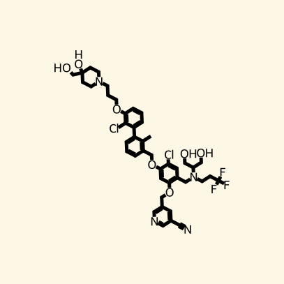 Cc1c(COc2cc(OCc3cncc(C#N)c3)c(CN(CCC(F)(F)F)C(CO)CO)cc2Cl)cccc1-c1cccc(OCCCN2CCC(O)(CO)CC2)c1Cl